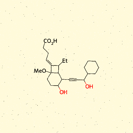 CCC1C(=CCCC(=O)O)C2(OC)CCC(O)C(C#CC(O)C3CCCCC3)C12